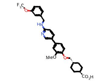 COc1cc(-c2ccc(NCc3cccc(OC(F)(F)F)c3)nc2)ccc1OC[C@H]1CC[C@H](C(=O)O)CC1